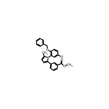 COC(=O)c1cccc(-c2ccc(C)n2-c2cc(Cl)ccc2OCc2ccccc2)c1